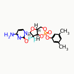 Cc1cc(C)cc(OP2(=O)OC[C@H]3O[C@@H](n4ccc(N)nc4=O)C(F)(F)[C@@H]3O2)c1